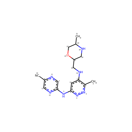 Cc1nnc(Nc2cnc(C#N)cn2)cc1NCC1CNC(C)CO1